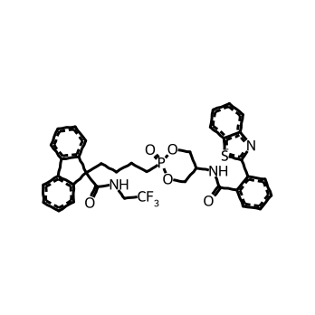 O=C(NC1COP(=O)(CCCCC2(C(=O)NCC(F)(F)F)c3ccccc3-c3ccccc32)OC1)c1ccccc1-c1nc2ccccc2s1